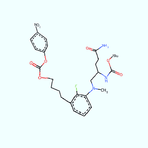 CN(CC(CCC(N)=O)NC(=O)OC(C)(C)C)c1cccc(CCCCOC(=O)Oc2ccc([N+](=O)[O-])cc2)c1F